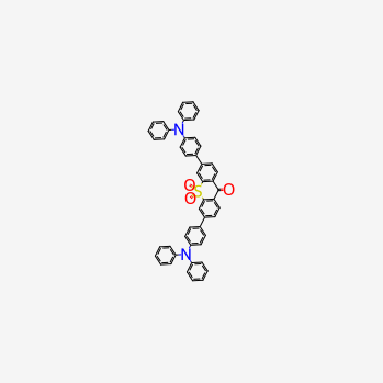 O=C1c2ccc(-c3ccc(N(c4ccccc4)c4ccccc4)cc3)cc2S(=O)(=O)c2cc(-c3ccc(N(c4ccccc4)c4ccccc4)cc3)ccc21